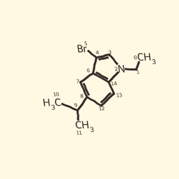 CCn1cc(Br)c2cc(C(C)C)ccc21